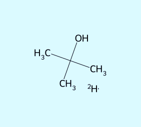 CC(C)(C)O.[2H]